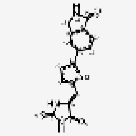 O=C1NC(=S)N/C1=C\c1ccc(-c2ccc3c(c2)CNC3=O)s1